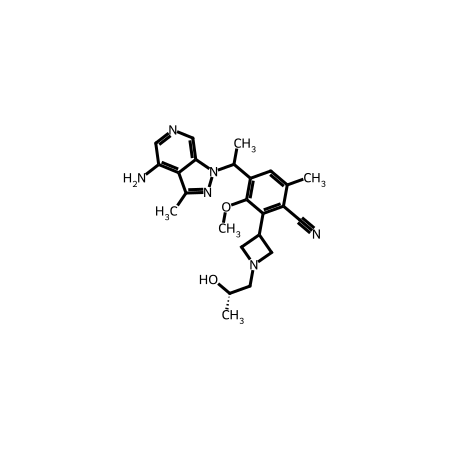 COc1c(C(C)n2nc(C)c3c(N)cncc32)cc(C)c(C#N)c1C1CN(C[C@H](C)O)C1